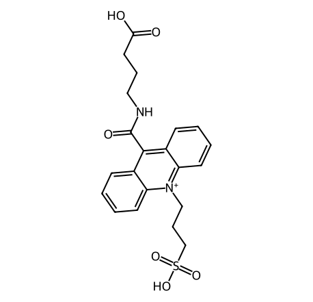 O=C(O)CCCNC(=O)c1c2ccccc2[n+](CCCS(=O)(=O)O)c2ccccc12